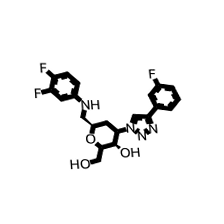 OCC1O[C@@H](CNc2ccc(F)c(F)c2)CC(n2cc(-c3cccc(F)c3)nn2)[C@H]1O